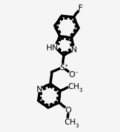 COc1ccnc(C[S+]([O-])c2nc3cc(F)ccc3[nH]2)c1C